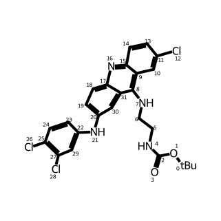 CC(C)(C)OC(=O)NCCNc1c2cc(Cl)ccc2nc2ccc(Nc3ccc(Cl)c(Cl)c3)cc12